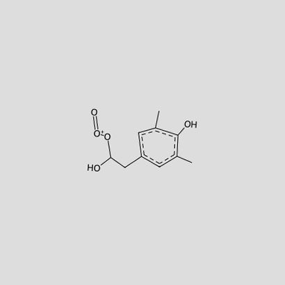 Cc1cc(CC(O)O[O+]=O)cc(C)c1O